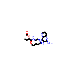 CCCCc1nc2c(N)nc3cccnc3c2n1CCNC(=O)C(CC)OC=O